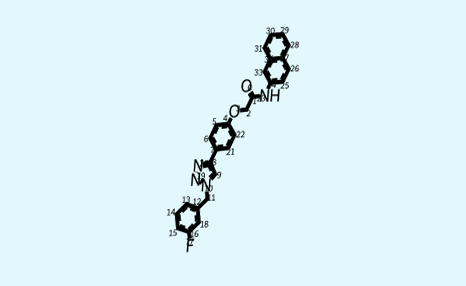 O=C(COc1ccc(-c2cn(Cc3cccc(F)c3)nn2)cc1)Nc1ccc2ccccc2c1